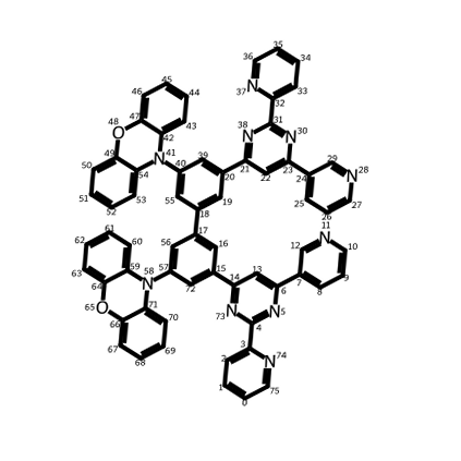 c1ccc(-c2nc(-c3cccnc3)cc(-c3cc(-c4cc(-c5cc(-c6cccnc6)nc(-c6ccccn6)n5)cc(N5c6ccccc6Oc6ccccc65)c4)cc(N4c5ccccc5Oc5ccccc54)c3)n2)nc1